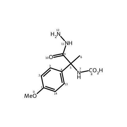 COc1ccc(C(C)(NC(=O)O)C(=O)NN)cc1